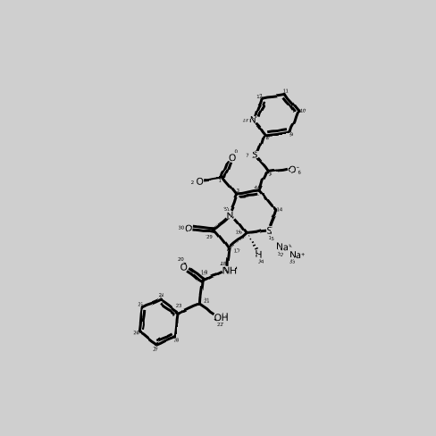 O=C([O-])C1=C(C([O-])Sc2ccccn2)CS[C@H]2C(NC(=O)C(O)c3ccccc3)C(=O)N12.[Na+].[Na+]